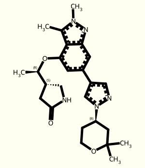 Cc1c2c(O[C@H](C)[C@@H]3CNC(=O)C3)cc(-c3cnn([C@@H]4CCOC(C)(C)C4)c3)cc2nn1C